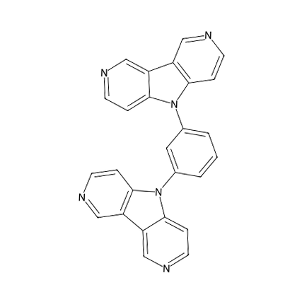 c1cc(-n2c3ccncc3c3cnccc32)cc(-n2c3ccncc3c3cnccc32)c1